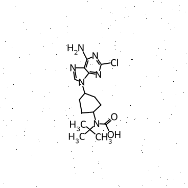 CC(C)(C)N(C(=O)O)C1CCC(n2cnc3c(N)nc(Cl)nc32)CC1